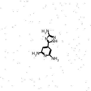 Nc1cc(-c2nc(N)n[nH]2)cc(N)n1